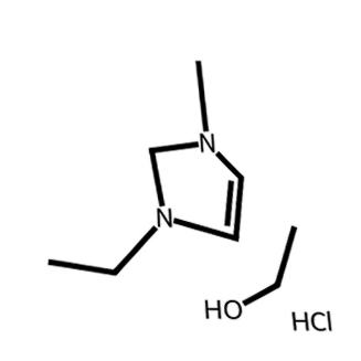 CCN1C=CN(C)C1.CCO.Cl